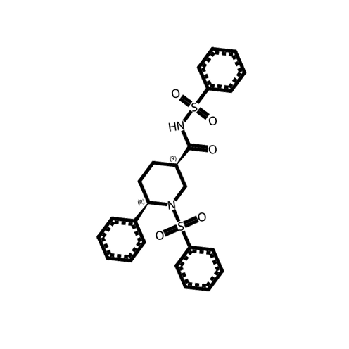 O=C(NS(=O)(=O)c1ccccc1)[C@@H]1CC[C@H](c2ccccc2)N(S(=O)(=O)c2ccccc2)C1